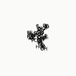 CC(C)(C#Cc1ccc(-c2ccc(Cl)c3c(N(CCOP(=O)(O)O)S(C)(=O)=O)nn(CC(F)(F)F)c23)c([C@H](Cc2cc(F)cc(F)c2)NC(=O)Cn2nc(C(F)(F)F)c3c2C(F)(F)C2C[C@H]32)n1)S(C)(=O)=O